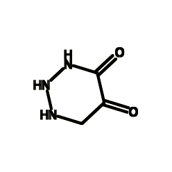 O=C1CNNNC1=O